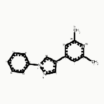 Cc1cc(-c2cnn(-c3ccccc3)c2)cc(C)n1